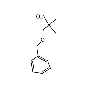 CC(C)(COCc1ccccc1)[N+](=O)[O-]